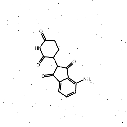 Nc1cccc2c1C(=O)C(C1CCC(=O)NC1=O)C2=O